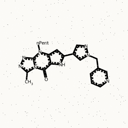 CCCCCn1c2cc(-c3cnn(Cc4cccnc4)c3)[nH]c2c(=O)n2c(C)nnc12